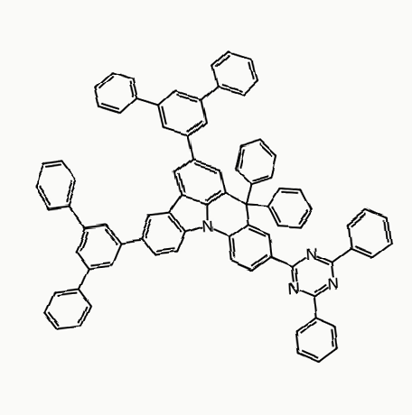 c1ccc(-c2cc(-c3ccccc3)cc(-c3ccc4c(c3)c3cc(-c5cc(-c6ccccc6)cc(-c6ccccc6)c5)cc5c3n4-c3ccc(-c4nc(-c6ccccc6)nc(-c6ccccc6)n4)cc3C5(c3ccccc3)c3ccccc3)c2)cc1